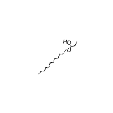 CCCCCCCCCCCCOC(O)CC